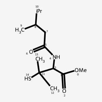 COC(=O)C(NC(=O)CC(C)C(C)C)C(C)(C)S